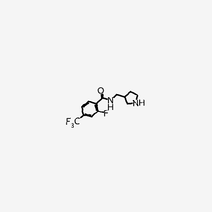 O=C(NCC1CCNC1)c1ccc(C(F)(F)F)cc1F